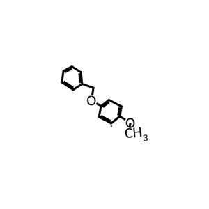 COc1[c]cc(OCc2ccccc2)cc1